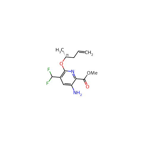 C=CC[C@@H](C)Oc1nc(C(=O)OC)c(N)cc1C(F)F